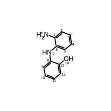 Nc1ccccc1Nc1ccccc1O